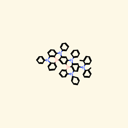 Cc1ccccc1N(c1cc2c3c(c1)N(c1ccccc1)c1cc4c(cc1B3c1ccccc1N2c1ccccc1)B1c2ccccc2N(c2ccccc2)c2cccc(c21)N4c1ccccc1)c1ccccc1C